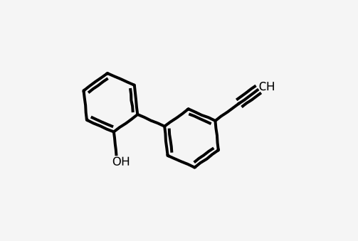 C#Cc1cccc(-c2ccccc2O)c1